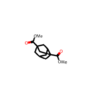 COC(=O)C12CC3CC(C1)C(C(=O)OC)(C3)C2